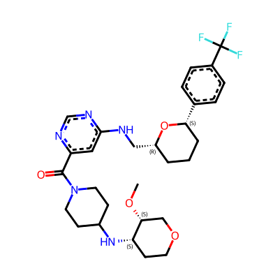 CO[C@@H]1COCC[C@@H]1NC1CCN(C(=O)c2cc(NC[C@H]3CCC[C@@H](c4ccc(C(F)(F)F)cc4)O3)ncn2)CC1